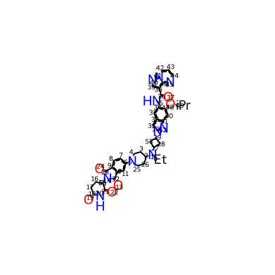 CCN(C1CCN(c2ccc3c(c2)C(=O)N([C@@H]2CCC(=O)NC2=O)C3=O)CC1)C1CC(n2cc3cc(NC(=O)c4cnn5cccnc45)c(OC(C)C)cc3n2)C1